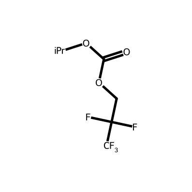 CC(C)OC(=O)OCC(F)(F)C(F)(F)F